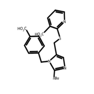 CCCCc1ncc(CSc2ncccc2C(=O)O)n1Cc1ccc(C(=O)O)cc1